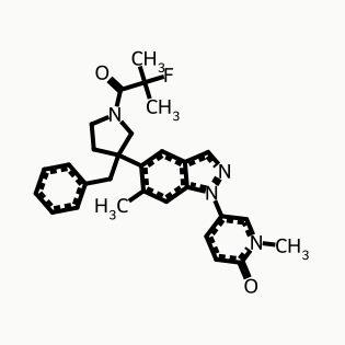 Cc1cc2c(cnn2-c2ccc(=O)n(C)c2)cc1C1(Cc2ccccc2)CCN(C(=O)C(C)(C)F)C1